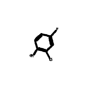 C[C](C)c1ccc(F)cc1Cl